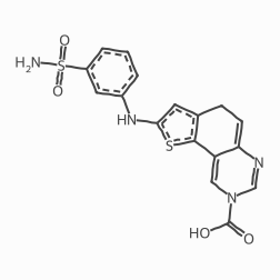 NS(=O)(=O)c1cccc(Nc2cc3c(s2)C2=CN(C(=O)O)C=NC2=CC3)c1